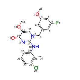 COc1cc(F)cc(Cn2cc(OC)c(=O)nc2Nc2cccc(Cl)c2C)c1